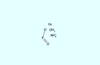 O.O=P[O-].[Fe].[NH4+]